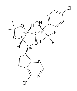 CC1(C)O[C@@H]2[C@H](O1)[C@@H]([C@](O)(c1ccc(Cl)cc1)C(F)(F)F)O[C@H]2n1ccc2c(Cl)ncnc21